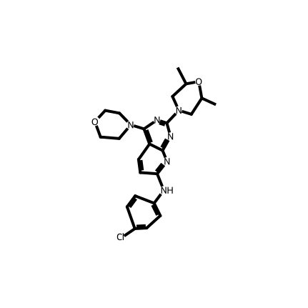 CC1CN(c2nc(N3CCOCC3)c3ccc(Nc4ccc(Cl)cc4)nc3n2)CC(C)O1